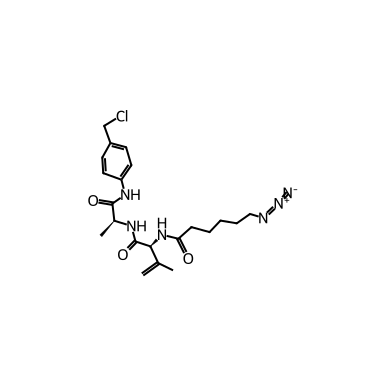 C=C(C)[C@H](NC(=O)CCCCCN=[N+]=[N-])C(=O)N[C@@H](C)C(=O)Nc1ccc(CCl)cc1